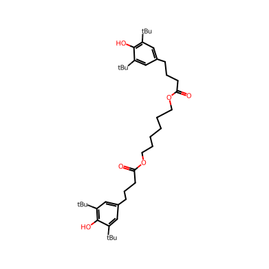 CC(C)(C)c1cc(CCCC(=O)OCCCCCCOC(=O)CCCc2cc(C(C)(C)C)c(O)c(C(C)(C)C)c2)cc(C(C)(C)C)c1O